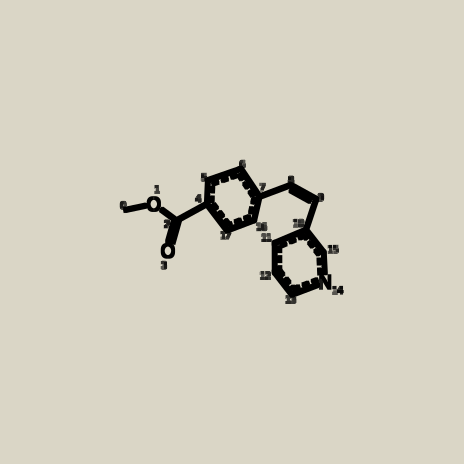 COC(=O)c1ccc(/C=C\c2cccnc2)cc1